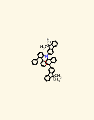 CC1(C)c2ccccc2-c2cc(-c3ccc(N(c4ccc5c(c4)C(C)(C)c4ccccc4-5)c4cccc(-c5ccccc5)c4-c4ccccc4)c4ccccc34)ccc21